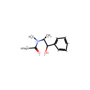 CCCCCCCC(=O)N(C)[C@@H](C)C(O)c1ccccc1